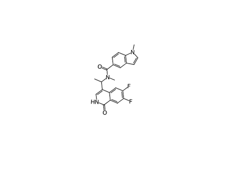 CC(c1c[nH]c(=O)c2cc(F)c(F)cc12)N(C)C(=O)c1ccc2c(ccn2C)c1